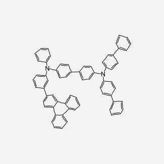 c1ccc(-c2ccc(N(c3ccc(-c4ccccc4)cc3)c3ccc(-c4ccc(N(c5ccccc5)c5cccc(-c6ccc7c8ccccc8c8ccccc8c7c6)c5)cc4)cc3)cc2)cc1